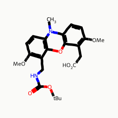 COc1ccc2c(c1CNC(=O)OC(C)(C)C)Oc1c(ccc(OC)c1CC(=O)O)N2C